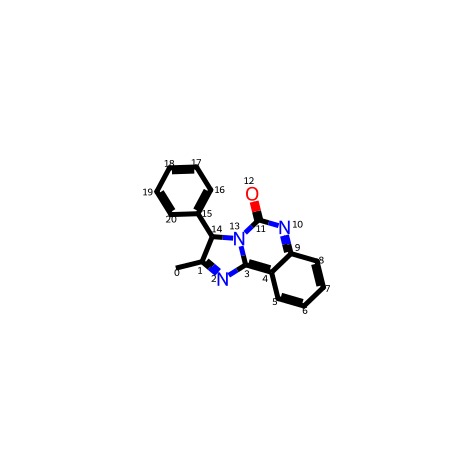 CC1=Nc2c3ccccc3nc(=O)n2C1c1ccccc1